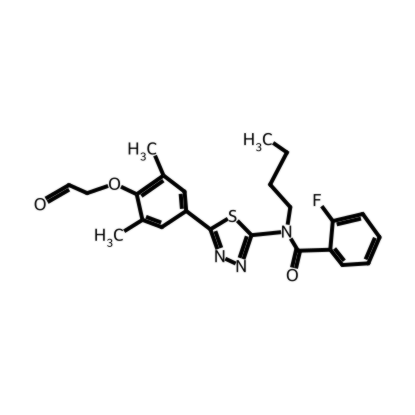 CCCCN(C(=O)c1ccccc1F)c1nnc(-c2cc(C)c(OCC=O)c(C)c2)s1